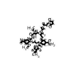 CCn1nc(C)cc1C(=O)Nc1nc2cc(C(N)=O)cc(OC)c2n1C/C=C/Cn1c(NC(=O)c2cc(C)nn2C)nc2cc(C(N)=O)cc(OCCCOC3CN(C(=O)CCN4C(=O)C=CC4=O)C3)c21